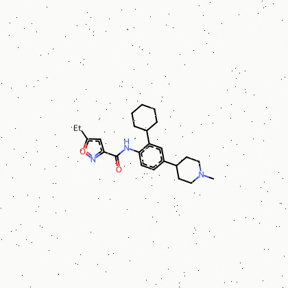 CCc1cc(C(=O)Nc2ccc(C3CCN(C)CC3)cc2C2CCCCC2)no1